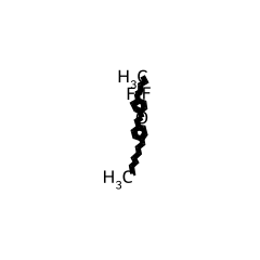 CCCCCCCCc1ccc(COc2ccc(C(F)=C(F)CCC)cc2)cc1